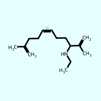 C=C(C)CC/C=C\CCC(NCC)C(=C)C